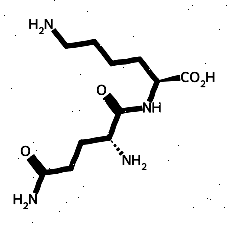 NCCCC[C@H](NC(=O)[C@H](N)CCC(N)=O)C(=O)O